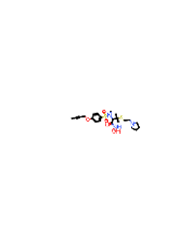 CC#CCOc1ccc(S(=O)(=O)N(C)C(C(=O)NO)C(C)(C)SCCN2CCCC2)cc1